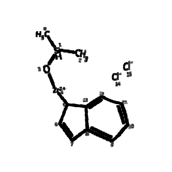 C[SiH](C)[O][Zr+2][CH]1C=Cc2ccccc21.[Cl-].[Cl-]